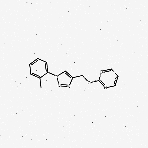 Cc1ccccc1-n1cc(COc2ncccn2)nn1